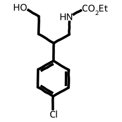 CCOC(=O)NCC(CCO)c1ccc(Cl)cc1